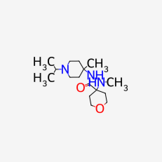 CNC1(C(=O)NC2(C)CCN(C(C)C)CC2)CCOCC1